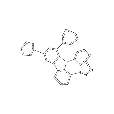 c1ccc(-c2cc(-c3ccccc3)c3c(c2)-c2cccc4c2B3c2cccc3nnn-4c23)cc1